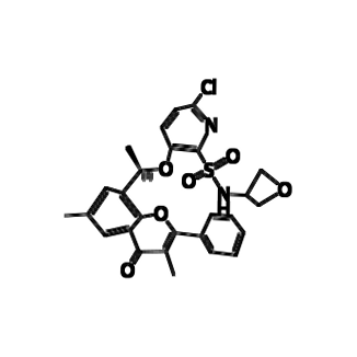 Cc1cc([C@@H](C)Oc2ccc(Cl)nc2S(=O)(=O)NC2COC2)c2oc(-c3ccccc3)c(C)c(=O)c2c1